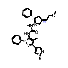 COC/C=C1/C[C@@H](NC(=O)Nc2c(C)c(-c3cnn(C)c3)nn2-c2ccccc2)[C@H](c2ccccc2)C1